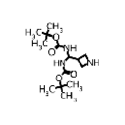 CC(C)(C)OC(=O)NC(NC(=O)OC(C)(C)C)C1CNC1